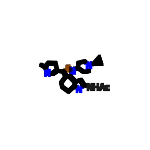 CC(=O)NC1=CC2=C3C(=C(c4ccc(C)nc4)SN3C3CCN(C4CC4)CC3)CCCC2=N1